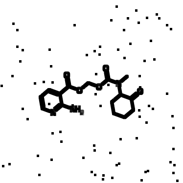 CN(C(=O)OCOC(=O)c1cccnc1N)C1CCCCC1=O